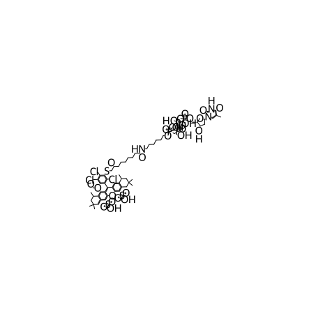 Cc1cn([C@H]2C[C@@H](O)[C@@H](COP(=O)(O)OP(=O)(O)OP(=O)(O)CP(=O)(O)OCCCCCCNC(=O)CCCCCCC(=O)CSc3c(Cl)c(Cl)c(OC=O)c(C4=c5cc6c(c(S(=O)(=O)O)c5Oc5c4cc4c(c5S(=O)(=O)O)CC(C)(C)CC4C)=CC(C)(C)CC6C)c3Cl)O2)c(=O)[nH]c1=O